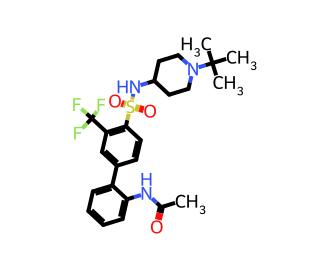 CC(=O)Nc1ccccc1-c1ccc(S(=O)(=O)NC2CCN(C(C)(C)C)CC2)c(C(F)(F)F)c1